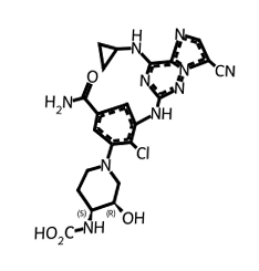 N#Cc1cnc2c(NC3CC3)nc(Nc3cc(C(N)=O)cc(N4CC[C@H](NC(=O)O)[C@H](O)C4)c3Cl)nn12